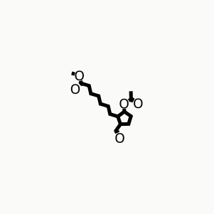 COC(=O)CCCCCCC1C(C=O)CCC1OC(C)=O